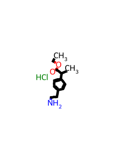 CCOC(=O)C(CC)c1ccc(CCN)cc1.Cl